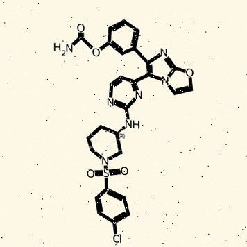 NC(=O)Oc1cccc(-c2nc3occn3c2-c2ccnc(N[C@@H]3CCCN(S(=O)(=O)c4ccc(Cl)cc4)C3)n2)c1